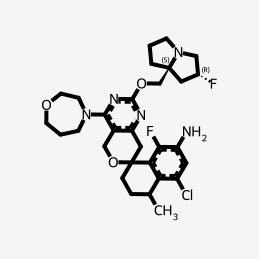 CC1CCC2(Cc3nc(OC[C@@]45CCCN4C[C@H](F)C5)nc(N4CCCOCC4)c3CO2)c2c(F)c(N)cc(Cl)c21